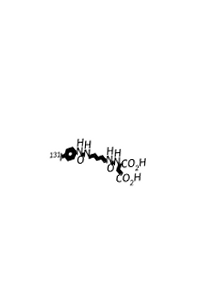 O=C(O)CC[C@H](NC(=O)NCCCCCNC(=O)Nc1ccc([131I])cc1)C(=O)O